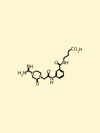 N=C(N)N1CCN(CC(=O)Nc2cccc(C(=O)NCCCC(=O)O)c2)C(=O)C1